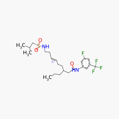 CCCC(CC/C=C/CCNS(=O)(=O)CC(C)C)CC(=O)Nc1cc(F)cc(C(F)(F)F)c1